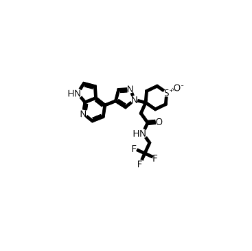 O=C(CC1(n2cc(-c3ccnc4[nH]ccc34)cn2)CC[S+]([O-])CC1)NCC(F)(F)F